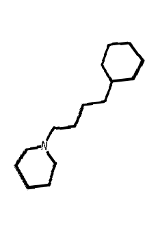 C1CCC(CCCCN2CCCCC2)CC1